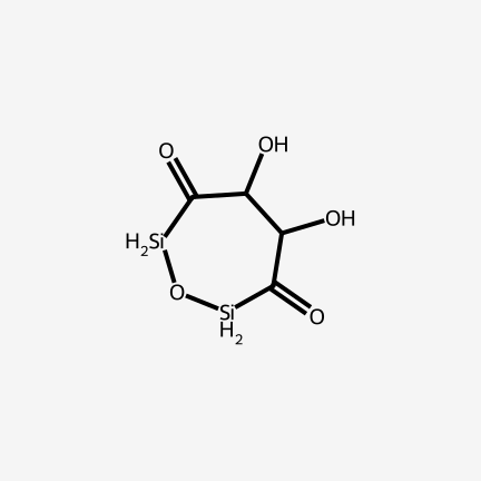 O=C1[SiH2]O[SiH2]C(=O)C(O)C1O